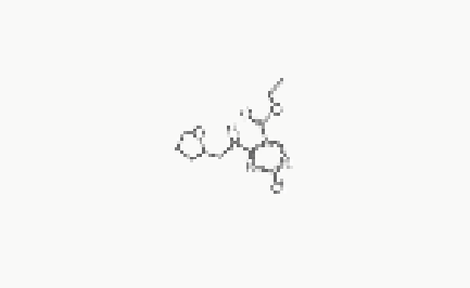 CCOC(=O)c1cnc(Cl)nc1NCC1CCCO1